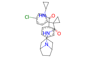 O=C(NC1CC1)c1ccc(N2C3CCC2CC(NC(=O)C2(c4ccc(Cl)cc4)CC2)C3)cc1